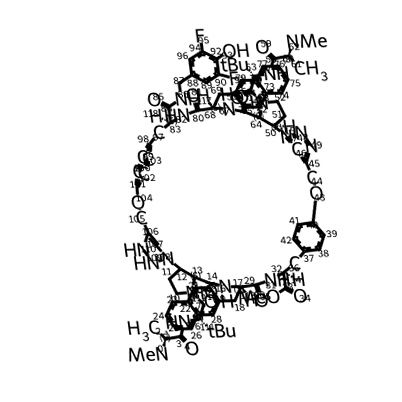 CN[C@@H](C)C(=O)N[C@H](C(=O)N1CCC2[C@H]1C(=O)N[C@@H](Cc1ccc3ccccc3c1)C(=O)N[C@H](C(=O)OC)Cc1ccc(cc1)OCc1cn(nn1)[C@@H]1CCN(C(=O)[C@@H](NC(=O)[C@H](C)NC)C(C)(C)C)[C@@H]1C(=O)N[C@@H](Cc1ccc3ccccc3c1)C(=O)N[C@H](C(=O)NCc1cc(F)c(O)c(F)c1)Cc1ccc(cc1)OCC1=CN2NN1)C(C)(C)C